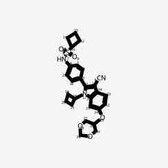 N#Cc1c(-c2ccc(NS(=O)(=O)C3CCC3)cc2)n(C2CCC2)c2cc(OC3COCOC3)ccc12